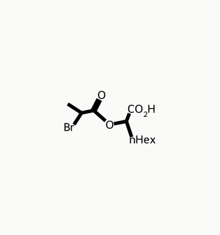 CCCCCCC(OC(=O)C(C)Br)C(=O)O